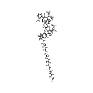 CCn1nccc1C(=O)N[C@H](C(=O)Nc1ccc([C@H](C)[C@@H](NC(=O)N(C)C2CC2)C(=O)N2CCC(OCCOCCOCCOCCOCCOCCOCCOC)(C(F)(F)F)CC2)cc1F)C(C1CC1)C1CC1